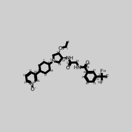 CCO[C@H]1CN(C2CCC(c3ccc[n+]([O-])c3)CC2)C[C@@H]1NC(=O)CNC(=O)c1cccc(C(F)(F)F)c1